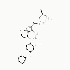 C/C=C1\CNC[C@H](NC(=O)c2sc3nccc4c3c2NC(=O)N4c2ccc(Oc3ccccc3)cc2C)C1